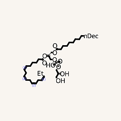 CC/C=C\C/C=C\C/C=C\C/C=C\CCCCC(=O)O[C@H](COC(=O)CCCCCCCCCCCCCCCCCC)COP(=O)(O)OC[C@@H](O)CO